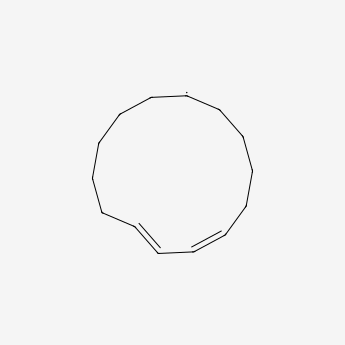 [CH]1CCCC/C=C\C=C\CCCCC1